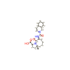 O=C(O)[C@@H]1CC[C@@H]2CCCC[C@H](NC(=O)N3C=Cc4ccccc4C3)C(=O)N21